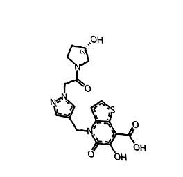 O=C(O)c1c(O)c(=O)n(Cc2cnn(CC(=O)N3CC[C@H](O)C3)c2)c2ccsc12